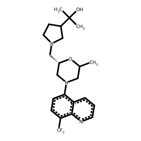 CC1CN(c2ccc(C(F)(F)F)c3ncccc23)C[C@H](CN2CCC(C(C)(C)O)C2)O1